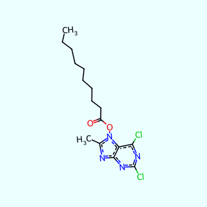 CCCCCCCCCC(=O)On1c(C)nc2nc(Cl)nc(Cl)c21